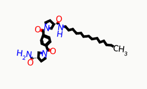 CCCCCCCCCCCCCCNC(=O)[C@H]1CCN(C(=O)c2ccc(C(=O)N3CC[C@H](C(N)=O)C3)cc2)C1